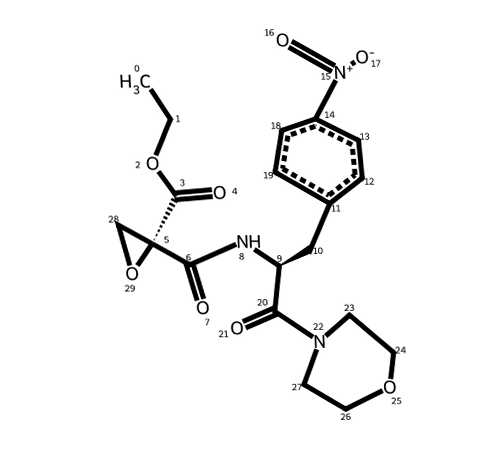 CCOC(=O)[C@@]1(C(=O)N[C@@H](Cc2ccc([N+](=O)[O-])cc2)C(=O)N2CCOCC2)CO1